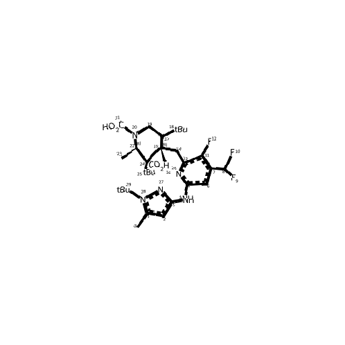 Cc1cc(Nc2cc(C(F)F)c(F)c(C[C@@]3(C(=O)O)C(C(C)(C)C)CN(C(=O)O)[C@H](C)C3C(C)(C)C)n2)nn1C(C)(C)C